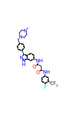 CN1CCN(Cc2ccc(-c3n[nH]c4cc(NC(=O)CC(=O)Nc5ccc(F)c(C(F)(F)F)c5)ccc34)cc2)CC1